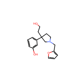 OCCC1(c2cccc(O)c2)CCN(Cc2ccco2)C1